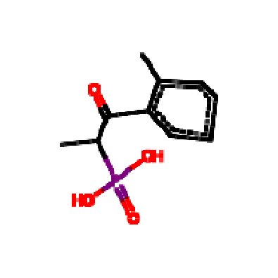 Cc1ccccc1C(=O)C(C)P(=O)(O)O